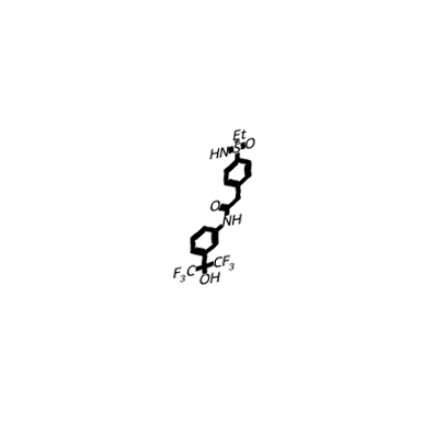 CCS(=N)(=O)c1ccc(CC(=O)Nc2cccc(C(O)(C(F)(F)F)C(F)(F)F)c2)cc1